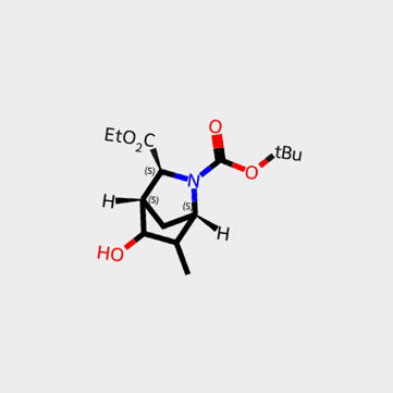 CCOC(=O)[C@@H]1[C@@H]2C[C@@H](C(C)C2O)N1C(=O)OC(C)(C)C